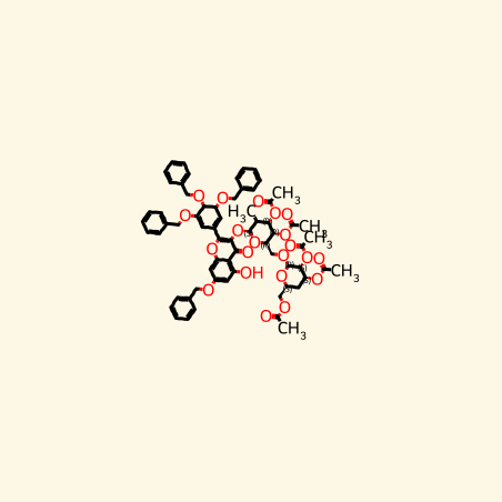 CC(=O)OC[C@@H]1C[C@H](OC(C)=O)[C@H](OC(C)=O)[C@H](OC[C@H]2O[C@@H](Oc3c(C4=CC(OCc5ccccc5)C(OCc5ccccc5)C(OCc5ccccc5)=C4)oc4cc(OCc5ccccc5)cc(O)c4c3=O)C(C)[C@@H](OC(C)=O)[C@H]2OC(C)=O)O1